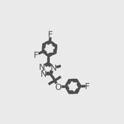 Cn1c(-c2ccc(F)cc2F)nnc1C(C)(C)Oc1ccc(F)cc1